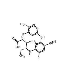 CC[C@@H](Nc1nc(Nc2cnc(C)c(F)c2)c(C#N)cc1F)[C@H](C)NC(=O)O